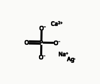 O=P([O-])([O-])[O-].[Ag].[Ca+2].[Na+]